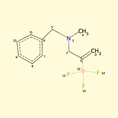 C=C(CN(C)Cc1ccccc1)[B-](F)(F)F